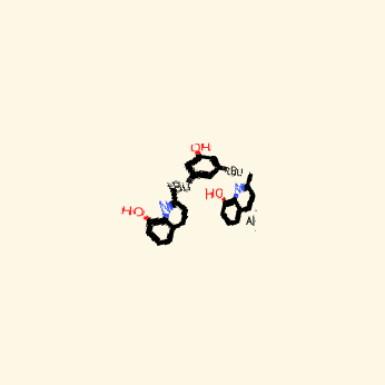 CC(C)(C)c1cc(O)cc(C(C)(C)C)c1.Cc1ccc2cccc(O)c2n1.Cc1ccc2cccc(O)c2n1.[Al]